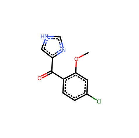 COc1cc(Cl)ccc1C(=O)c1c[nH]cn1